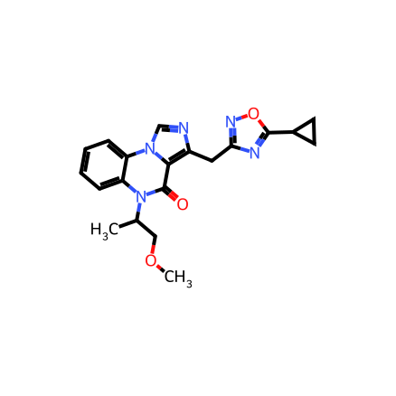 COCC(C)n1c(=O)c2c(Cc3noc(C4CC4)n3)ncn2c2ccccc21